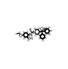 CCOc1ccc(NC(=S)N2CCC(C(O)(c3ccccc3)c3ccccc3)CC2)c(C)c1